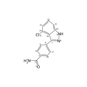 NC(=O)c1ccc(-c2n[nH]c3cccc(Cl)c23)cc1